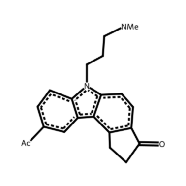 CNCCCn1c2ccc(C(C)=O)cc2c2c3c(ccc21)C(=O)CC3